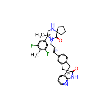 Cc1c(F)cc([C@]2(C)CNC3(CCCC3)C(=O)N2C/C=C/c2ccc3c(c2)C[C@@]2(C3)C(=O)Nc3ncccc32)cc1F